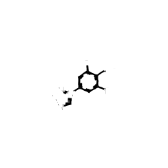 CC(C)c1c(F)cc(-n2cnnn2)cc1F